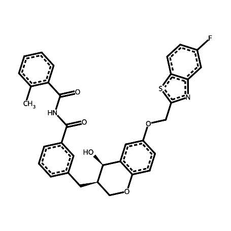 Cc1ccccc1C(=O)NC(=O)c1cccc(C[C@@H]2COc3ccc(OCc4nc5cc(F)ccc5s4)cc3[C@@H]2O)c1